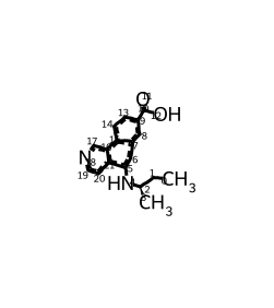 CC[C@@H](C)Nc1cc2cc(C(=O)O)ccc2c2cnccc12